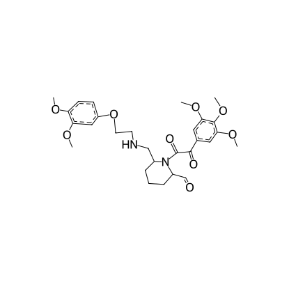 COc1ccc(OCCNCC2CCCC(C=O)N2C(=O)C(=O)c2cc(OC)c(OC)c(OC)c2)cc1OC